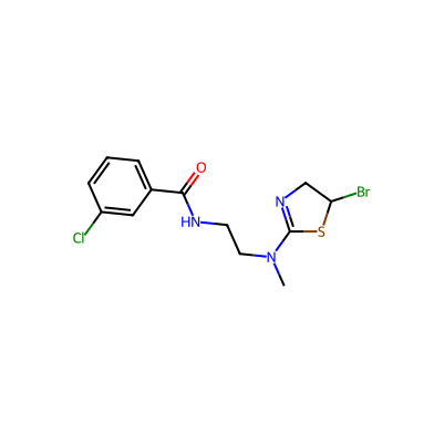 CN(CCNC(=O)c1cccc(Cl)c1)C1=NCC(Br)S1